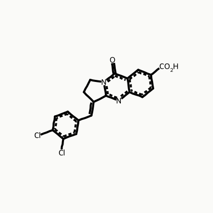 O=C(O)c1ccc2nc3n(c(=O)c2c1)CCC3=Cc1ccc(Cl)c(Cl)c1